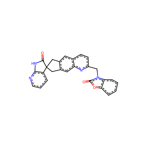 O=C1Nc2ncccc2C12Cc1cc3ccc(Cn4c(=O)oc5ccccc54)nc3cc1C2